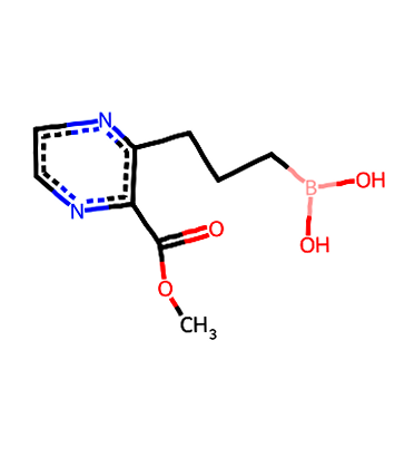 COC(=O)c1nccnc1CCCB(O)O